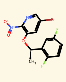 C[C@@H](Oc1cc(Br)cnc1[N+](=O)[O-])c1cc(F)ccc1F